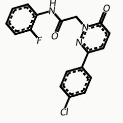 O=C(Cn1nc(-c2ccc(Cl)cc2)ccc1=O)Nc1ccccc1F